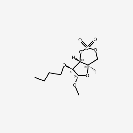 CCCCO[C@@H]1[C@@H](OC)O[C@@H]2COS(=O)(=O)O[C@@H]12